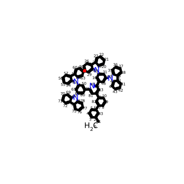 C=Cc1cccc(-c2cccc(-c3cc(-c4cc(-n5c6ccccc6c6ccccc65)cc(-n5c6ccccc6c6ccccc65)c4)nc(-c4cc(-n5c6ccccc6c6ccccc65)cc(-n5c6ccccc6c6ccccc65)c4)c3)c2)c1